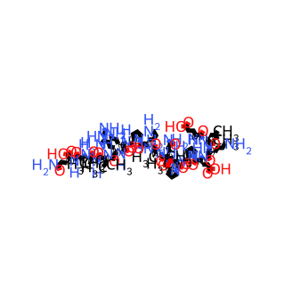 CC(C)C[C@H](NC(=O)[C@@H](N)CCC(=O)O)C(=O)N[C@@H](CCCCN)C(=O)N[C@@H](CCC(=O)O)C(=O)N1CCC[C@H]1C(=O)N[C@H](C(=O)N1CCC[C@H]1C(=O)N[C@@H](CCC(N)=O)C(=O)N[C@@H](C)C(=O)N[C@@H](CCCCN)C(=O)N1CCC[C@H]1C(=O)N[C@@H](CCCNC(=N)N)C(=O)N[C@@H](CCCCN)C(=O)N[C@H](C(=O)N[C@@H](C)C(=O)N[C@@H](C)C(=O)N[C@@H](CCC(N)=O)C(=O)O)C(C)C)C(C)C